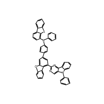 c1ccc(N(c2ccc(-c3cc(-c4ncc5c(n4)c4ccccc4n5-c4ccccc4)c4c(c3)oc3ccccc34)cc2)c2cccc3c2sc2ccccc23)cc1